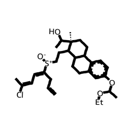 C=CC/C(=C\C=C(/C)Cl)[S+]([O-])CCC1C2CCc3cc(OC(C)OCC)ccc3C2CC[C@]1(C)C(C)O